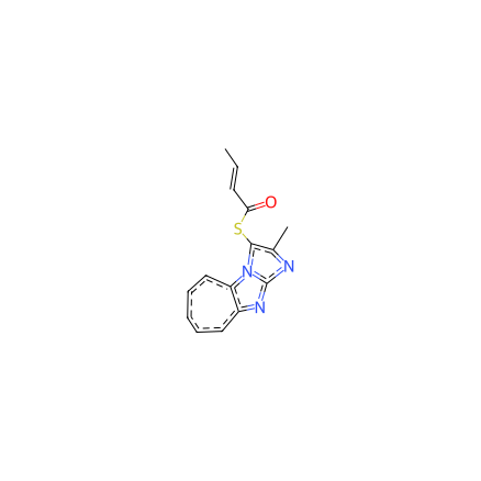 C/C=C/C(=O)Sc1c(C)nc2nc3cccccc3n12